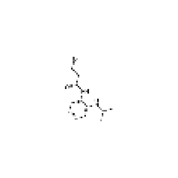 CC(C)Nc1ccccc1NC(=O)CCBr